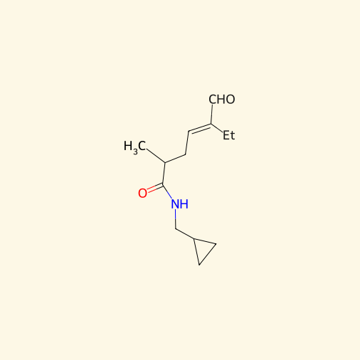 CC/C(C=O)=C\CC(C)C(=O)NCC1CC1